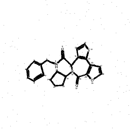 O=C(NCc1ccccc1)C1c2ccsc2-c2ccoc2C(=O)N1C1CCCC1